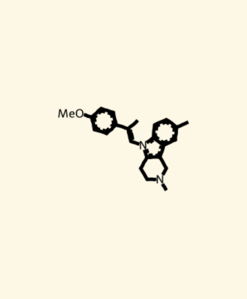 COc1ccc(C(C)=Cn2c3c(c4cc(C)ccc42)CN(C)CC3)cc1